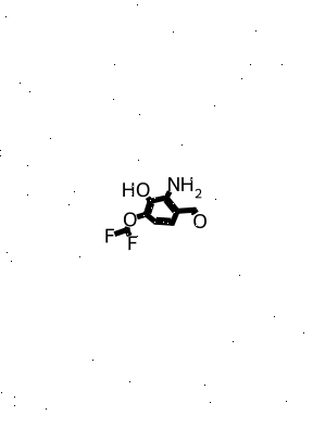 Nc1c(C=O)ccc(OC(F)F)c1O